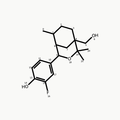 CC1CCC2(CO)CC1C(c1ccc(O)c(F)c1)OC2(C)C